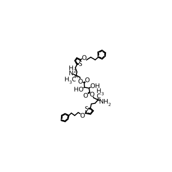 C[C@@](N)(CCc1ccc(OCCCc2ccccc2)s1)COC(=O)C(O)C(O)C(=O)OC[C@](C)(N)CCc1ccc(OCCCc2ccccc2)s1